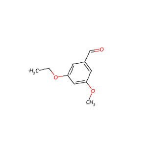 [CH2]COc1cc(C=O)cc(OC)c1